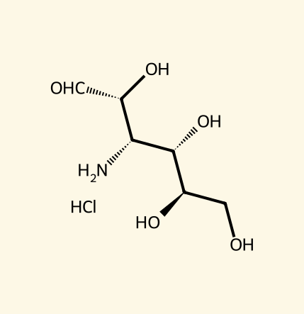 Cl.N[C@@H]([C@H](O)[C@H](O)CO)[C@@H](O)C=O